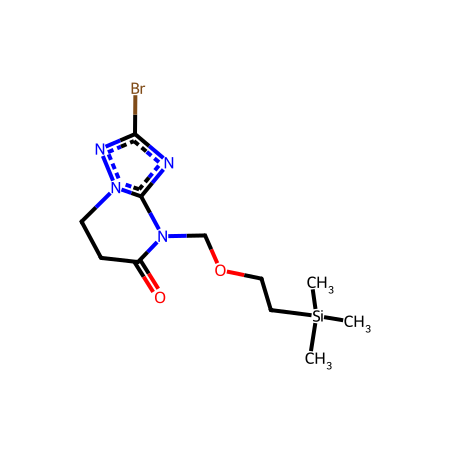 C[Si](C)(C)CCOCN1C(=O)CCn2nc(Br)nc21